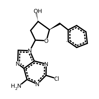 Nc1nc(Cl)nc2c1ncn2C1C[C@H](O)[C@@H](Cc2[c]cccc2)O1